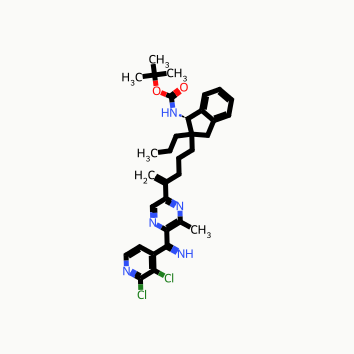 C=C(CCCC1(CCC)Cc2ccccc2[C@H]1NC(=O)OC(C)(C)C)c1cnc(C(=N)c2ccnc(Cl)c2Cl)c(C)n1